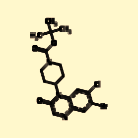 CC(C)(C)OC(=O)N1CCC(n2c(=O)cnc3cc(Br)c(Cl)cc32)CC1